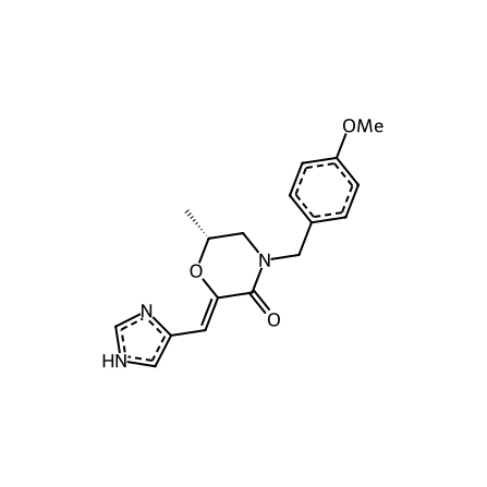 COc1ccc(CN2C[C@@H](C)OC(=Cc3c[nH]cn3)C2=O)cc1